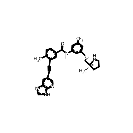 Cc1ccc(C(=O)Nc2cc(OC[C@]3(C)CCCN3)cc(C(F)(F)F)c2)cc1C#Cc1cnc2[nH]cnc2c1